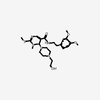 COc1ccc(CCNC(=O)C2=CN=C(SC)N(C)C2N2CCN(CCO)CC2)cc1OC